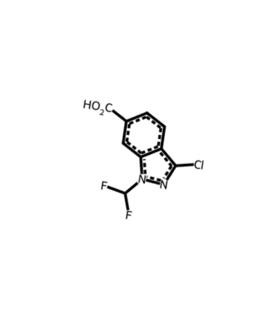 O=C(O)c1ccc2c(Cl)nn(C(F)F)c2c1